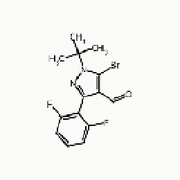 CC(C)(C)n1nc(-c2c(F)cccc2F)c(C=O)c1Br